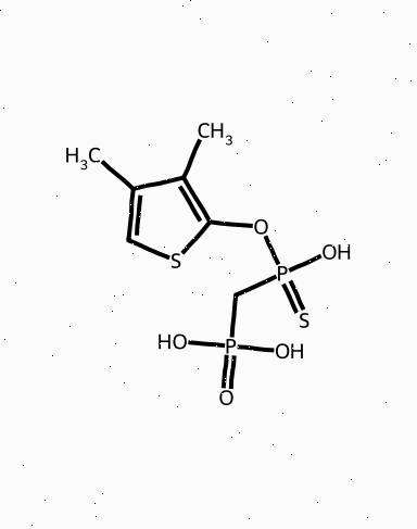 Cc1csc(OP(O)(=S)CP(=O)(O)O)c1C